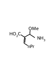 CCCC=C(C(=O)O)C(C)OC.N